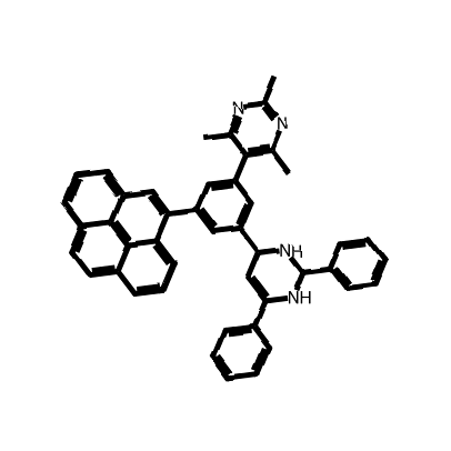 Cc1nc(C)c(-c2cc(-c3cc4cccc5ccc6cccc3c6c54)cc(C3C=C(c4ccccc4)NC(c4ccccc4)N3)c2)c(C)n1